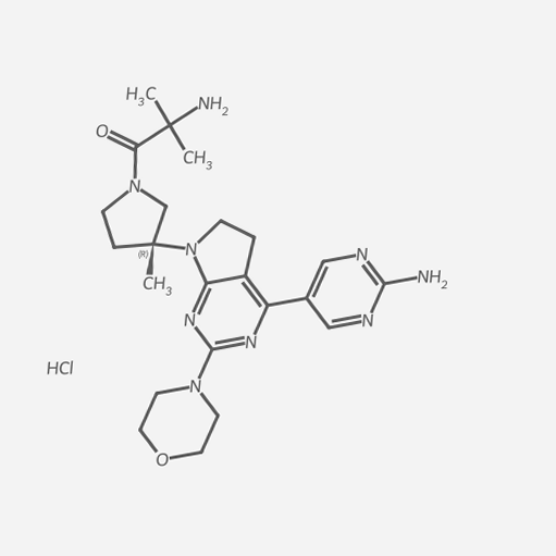 CC(C)(N)C(=O)N1CC[C@@](C)(N2CCc3c(-c4cnc(N)nc4)nc(N4CCOCC4)nc32)C1.Cl